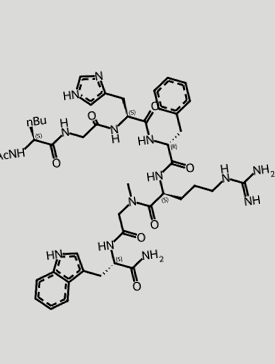 CCCC[C@H](NC(C)=O)C(=O)NCC(=O)N[C@@H](Cc1c[nH]cn1)C(=O)N[C@H](Cc1ccccc1)C(=O)N[C@@H](CCCNC(=N)N)C(=O)N(C)CC(=O)N[C@@H](Cc1c[nH]c2ccccc12)C(N)=O